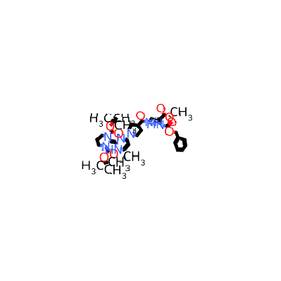 COC(=O)[C@H](CNC(=O)C1CCN(C2=NC(=C3N(C(=O)OC(C)(C)C)CCCN3C(=O)OC(C)(C)C)NC(C)=C2)CC1)NC(=O)OCc1ccccc1